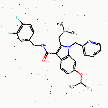 CC(C)Oc1ccc2c(C(=O)NCc3ccc(F)c(F)c3)c(CN(C)C)n(Cc3ccccn3)c2c1